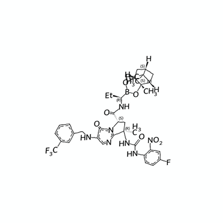 CC[C@H](NC(=O)[C@@H]1C[C@@](C)(NC(=O)Nc2ccc(F)cc2[N+](=O)[O-])c2ncc(NCc3cccc(C(F)(F)F)c3)c(=O)n21)B1O[C@@H]2C[C@@H]3C[C@@H](C3(C)C)[C@]2(C)O1